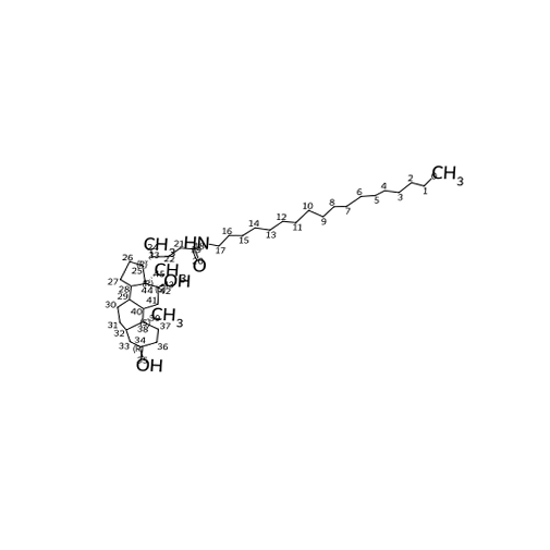 CCCCCCCCCCCCCCCCCCNC(=O)CCC(C)[C@H]1CCC2C3CCC4C[C@H](O)CC[C@]4(C)C3C[C@H](O)[C@@]21C